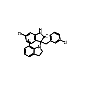 O=C1Nc2cc(Cl)ccc2C1(Cc1cccc(Cl)c1)N1CCc2cccc(Cl)c21